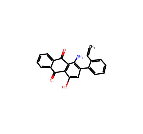 C=Cc1ccccc1-c1cc(O)c2c(c1N)C(=O)c1ccccc1C2=O